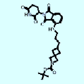 CC(C)(C)OC(=O)N1CC2(CC(CCCNc3cccc4c3C(=O)N(C3CCC(=O)NC3=O)C4=O)C2)C1